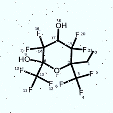 CCC1(C(F)(F)F)OC(O)(C(F)(F)F)C(F)(F)C(O)C1(F)F